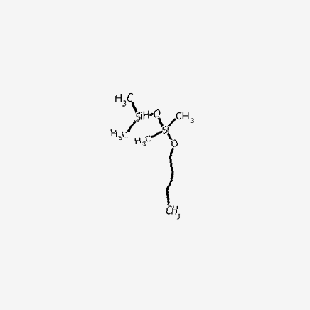 CCCCO[Si](C)(C)O[SiH](C)C